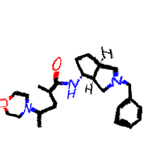 CC(CC(C)N1CCOCC1)C(=O)N[C@@H]1CC[C@H]2CN(Cc3ccccc3)C[C@H]21